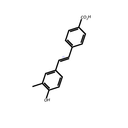 Cc1cc(/C=C/c2ccc(C(=O)O)cc2)ccc1O